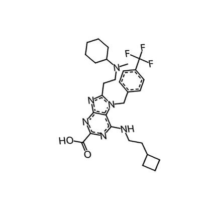 CN(CCc1nc2nc(C(=O)O)nc(NCCC3CCC3)c2n1Cc1ccc(C(F)(F)F)cc1)C1CCCCC1